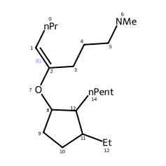 CCC/C=C(\CCCNC)OC1CCC(CC)C1CCCCC